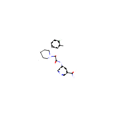 Cc1cc([C@@H]2CC[C@@H](C)CN2C(=O)C(=O)Nc2cncc(C(N)=O)c2)ccc1Cl